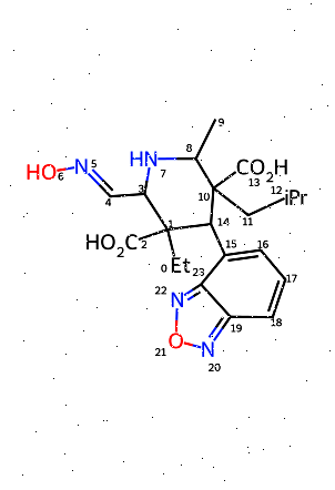 CCC1(C(=O)O)C(C=NO)NC(C)C(CC(C)C)(C(=O)O)C1c1cccc2nonc12